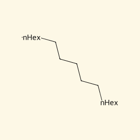 [CH2]CCCC[CH]CCCCCCCCCC[CH2]